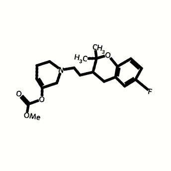 COC(=O)OC1=CCCN(CCC2Cc3cc(F)ccc3OC2(C)C)C1